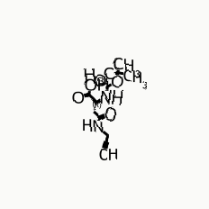 C#CCNC(=O)C[C@@H](NC(=O)OC(C)(C)C)C(=O)O